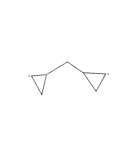 [CH]1CC1CC1[CH]C1